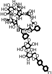 CC(c1ccccc1)C1NC(=O)CNC(=O)C(CO)NC(=O)C(C(O)C2CNC(=N)N2C2OC(CO)C(O)C(O)C2O)NC(=O)C(C(O)C2CNC(=N)N2)NC(=O)C(Cc2ccc(OC3OC(CO)C(OC4OC5COC(c6ccc(-c7ccc(Cl)cc7)cc6)OC5C(O)C4O)C(O)C3O)cc2)NC1=O